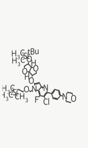 CC(C)(C)[Si](C)(C)OC1CO[C@H]2[C@@H]1OC[C@H]2Oc1cc2nc(-c3ccc(N4CCOCC4)cc3)c(Cl)c(F)c2n1COCC[Si](C)(C)C